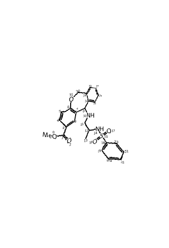 COC(=O)c1ccc2c(c1)C(NCC(C)NS(=O)(=O)c1ccccc1)c1ccccc1CO2